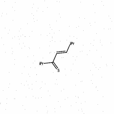 CC(C)/C=C/C(=S)C(C)C